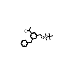 CC(=O)c1cc(CO[Si](C)(C)C(C)(C)C)cc(Cc2ccccc2)c1